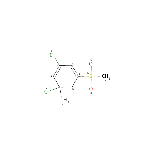 CC1(Cl)C=C(Cl)C=C(S(C)(=O)=O)C1